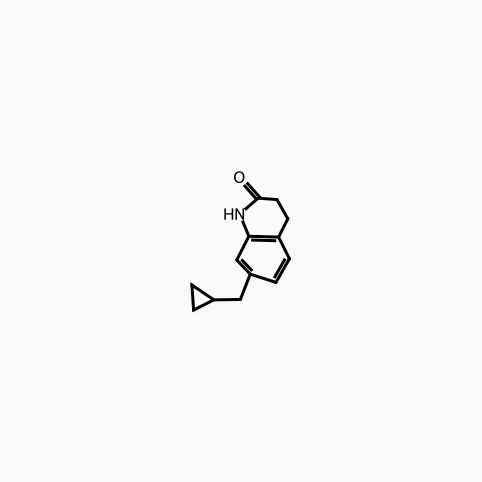 O=C1CCc2ccc(CC3CC3)cc2N1